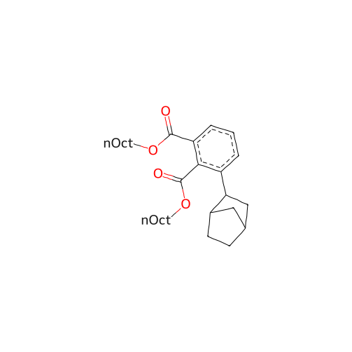 CCCCCCCCOC(=O)c1cccc(C2CC3CCC2C3)c1C(=O)OCCCCCCCC